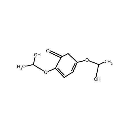 CC(O)OC1=CC=C(OC(C)O)C(=O)C1